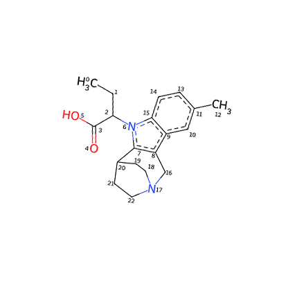 CCC(C(=O)O)n1c2c(c3cc(C)ccc31)CN1CCC2CC1